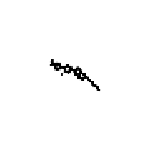 CCCCCCCc1ccc2cc(-c3ccc(-c4ccc(CN)cc4)c(F)c3)ccc2c1